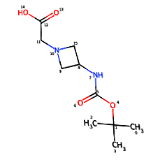 CC(C)(C)OC(=O)NC1CN(CC(=O)O)C1